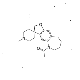 CC(=O)N1CCCCc2cc3c(cc21)C1(CCN(C)CC1)CO3